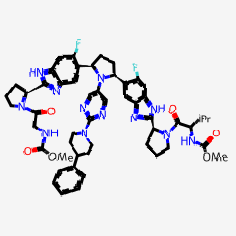 COC(=O)NCC(=O)N1CCC[C@H]1c1nc2cc([C@H]3CC[C@@H](c4cc5nc([C@@H]6CCCN6C(=O)C(NC(=O)OC)C(C)C)[nH]c5cc4F)N3c3cnc(N4CCC(c5ccccc5)CC4)nc3)c(F)cc2[nH]1